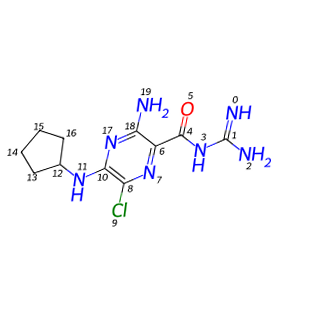 N=C(N)NC(=O)c1nc(Cl)c(NC2CCCC2)nc1N